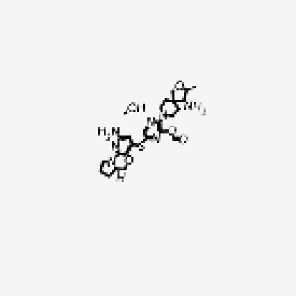 CO.C[C@@H]1OCC2(CCN(c3ncc(Sc4cc(N)nc5c4OC[C@@H]4CCCN54)nc3OC=O)CC2)[C@@H]1N